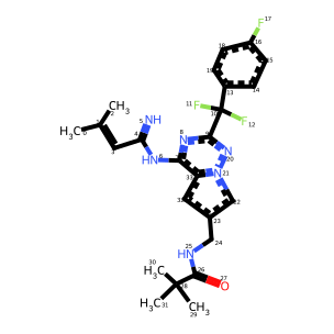 CC(C)=CC(=N)Nc1nc(C(F)(F)c2ccc(F)cc2)nn2cc(CNC(=O)C(C)(C)C)cc12